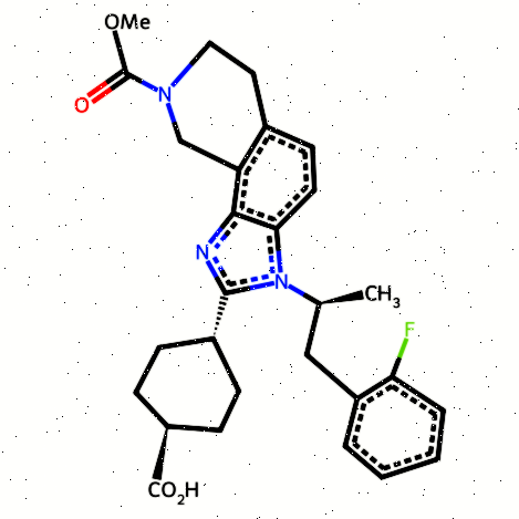 COC(=O)N1CCc2ccc3c(nc([C@H]4CC[C@H](C(=O)O)CC4)n3[C@@H](C)Cc3ccccc3F)c2C1